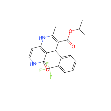 CC1=C(C(=O)OC(C)C)C(c2ccccc2C(F)(F)F)c2c(cc[nH]c2=O)N1